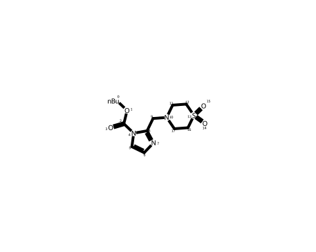 CCCCOC(=O)n1ccnc1CN1CCS(=O)(=O)CC1